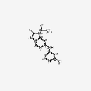 Cc1nc2cnc(Nc3ccnc(Cl)n3)cc2n1C(C)C(F)(F)F